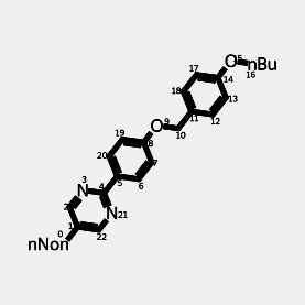 CCCCCCCCCc1cnc(-c2ccc(OCc3ccc(OCCCC)cc3)cc2)nc1